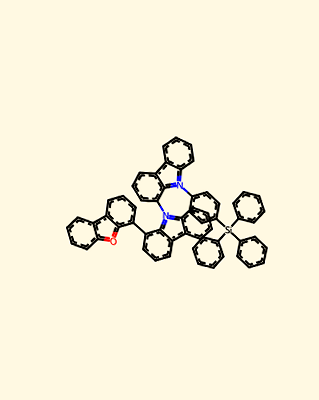 c1ccc([Si](c2ccccc2)(c2ccccc2)c2ccc(-n3c4ccccc4c4cccc(-n5c6ccccc6c6cccc(-c7cccc8c7oc7ccccc78)c65)c43)cc2)cc1